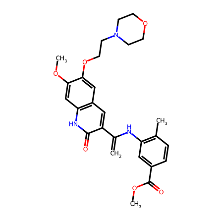 C=C(Nc1cc(C(=O)OC)ccc1C)c1cc2cc(OCCN3CCOCC3)c(OC)cc2[nH]c1=O